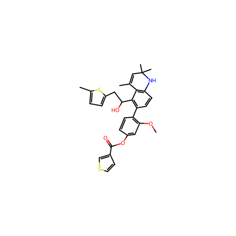 COc1cc(OC(=O)c2ccsc2)ccc1-c1ccc2c(c1C(O)Cc1ccc(C)s1)C(C)=CC(C)(C)N2